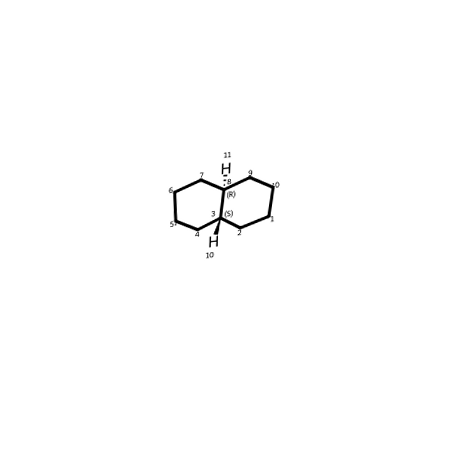 [CH]1CC[C@@H]2C[CH]CC[C@H]2C1